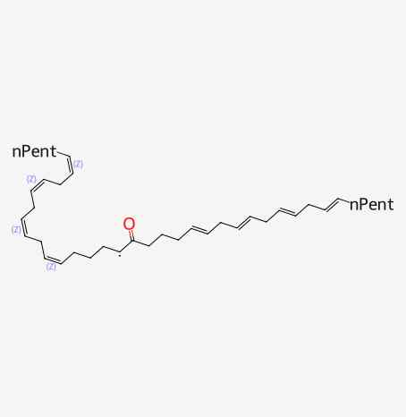 CCCCCC=CCC=CCC=CCC=CCCCC(=O)[CH]CCC/C=C\C/C=C\C/C=C\C/C=C\CCCCC